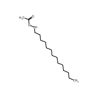 CCCCCCCCCCCCCCPOC(C)=O